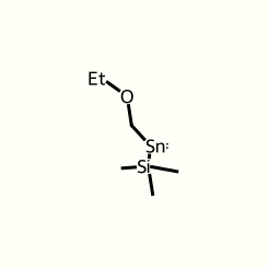 CCO[CH2][Sn][Si](C)(C)C